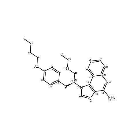 CCCCOc1ccc(C[C@@H](COCC)n2cnc3c(N)nc4ccccc4c32)cc1